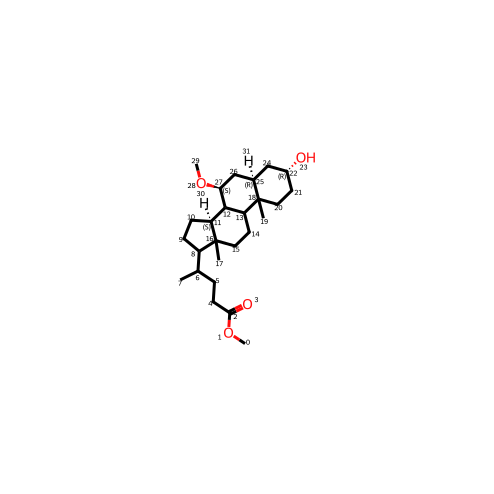 COC(=O)CCC(C)C1CC[C@H]2C3C(CCC12C)C1(C)CC[C@@H](O)C[C@@H]1C[C@@H]3OC